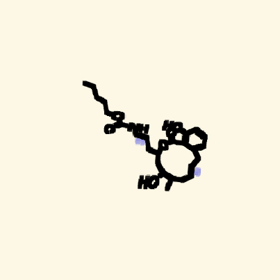 CCCCCOC(=O)N/C=C/CC1CC(O)C(C)C/C=C/Cc2cccc(O)c2C(=O)O1